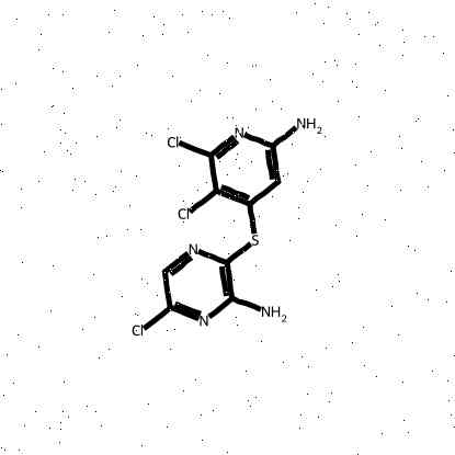 Nc1cc(Sc2ncc(Cl)nc2N)c(Cl)c(Cl)n1